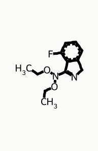 CCON(OCC)C1=NCc2cccc(F)c21